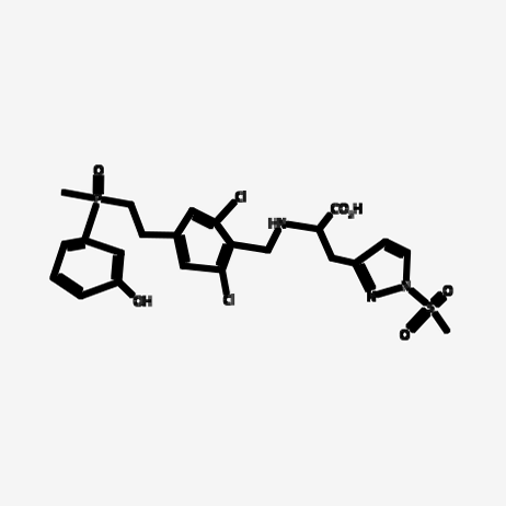 CP(=O)(CCc1cc(Cl)c(CNC(Cc2ccn(S(C)(=O)=O)n2)C(=O)O)c(Cl)c1)c1cccc(O)c1